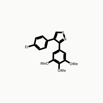 CCc1ccc(-c2csnc2-c2cc(OC)c(OC)c(OC)c2)cc1